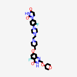 O=c1ccn(-c2ccc(N3CCN(CCN4CCC(COc5cc(F)c6c(=O)[nH]c(COC7CCOCC7)nc6c5)CC4)CC3)c(F)c2)c(=O)[nH]1